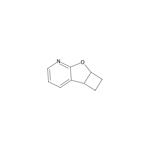 c1cnc2c(c1)C1CCC1O2